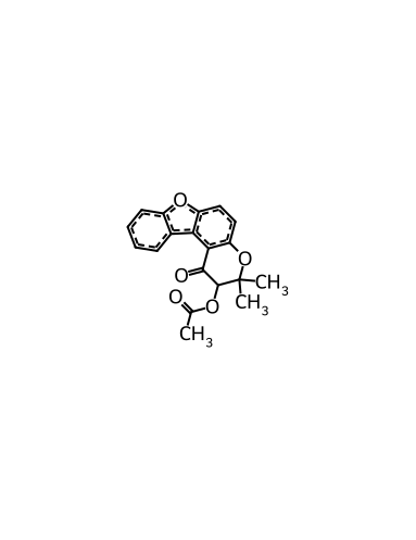 CC(=O)OC1C(=O)c2c(ccc3oc4ccccc4c23)OC1(C)C